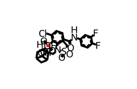 O=C(Nc1ccc(F)c(F)c1)c1ccc(Cl)c(S(=O)(=O)[C@H]2CC3CC(C2)[C@@]3(O)C(O)CN2CCCS2(=O)=O)c1